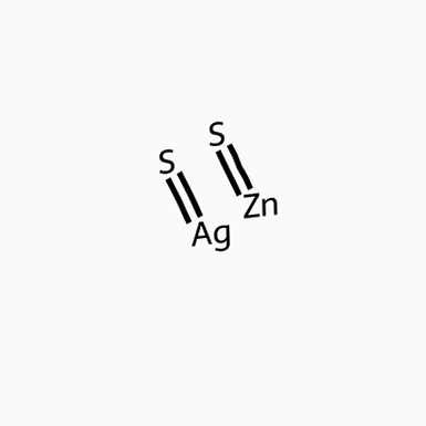 [S]=[Ag].[S]=[Zn]